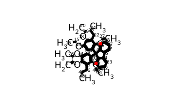 C=COc1c(OCC)cc(C2(c3cc(OCC)c(OC=C)c(CCC)c3OCC)c3ccccc3-c3ccccc32)c(OCC)c1CCC